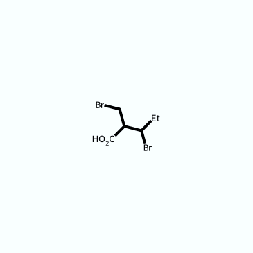 CCC(Br)C(CBr)C(=O)O